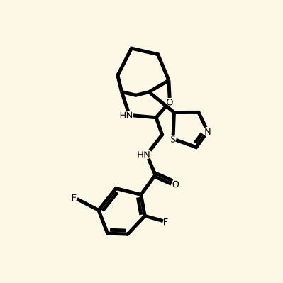 O=C(NCC1NC2CCCC(O1)C(C1CN=CS1)C2)c1cc(F)ccc1F